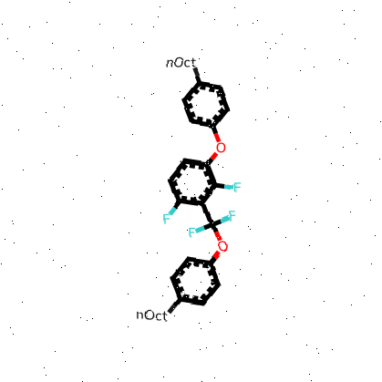 CCCCCCCCc1ccc(Oc2[c]cc(F)c(C(F)(F)Oc3ccc(CCCCCCCC)cc3)c2F)cc1